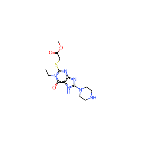 CCn1c(SCC(=O)OC)nc2nc(N3CCNCC3)[nH]c2c1=O